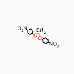 CC(COc1ccc([N+](=O)[O-])cc1)Oc1ccc([N+](=O)[O-])cc1